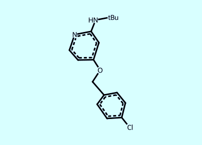 CC(C)(C)Nc1cc(OCc2ccc(Cl)cc2)ccn1